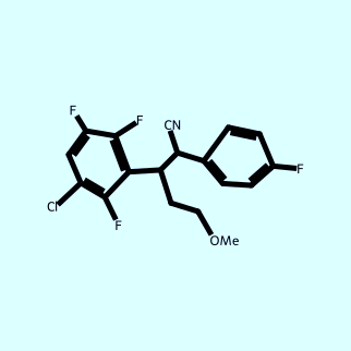 COCCC(c1c(F)c(F)cc(Cl)c1F)C(C#N)c1ccc(F)cc1